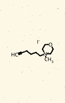 C#CCCCC[N+]1(C)CCOCC1.[I-]